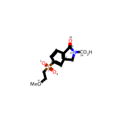 COCCS(=O)(=O)c1ccc2c(c1)CN(C(=O)O)C2=O